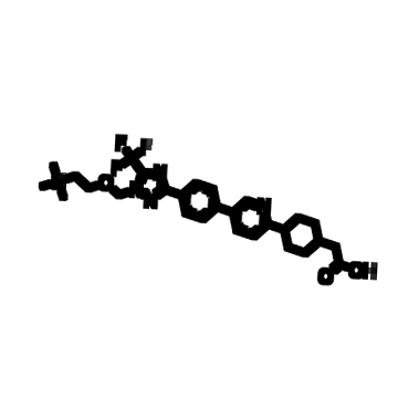 C[Si](C)(C)CCOCn1nc(-c2ccc(-c3ccc(C4CCC(CC(=O)O)CC4)nc3)cc2)nc1C(F)(F)F